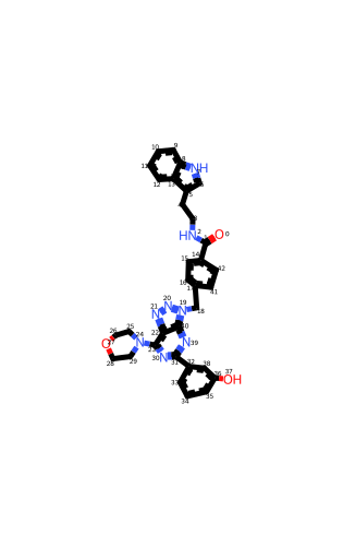 O=C(NCCc1c[nH]c2ccccc12)c1ccc(Cn2nnc3c(N4CCOCC4)nc(-c4cccc(O)c4)nc32)cc1